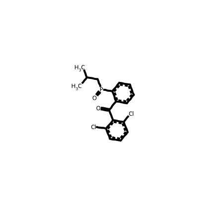 CC(C)C[P](=O)c1ccccc1C(=O)c1c(Cl)cccc1Cl